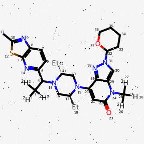 [2H]C([2H])([2H])C(c1ccc2nc(C)sc2n1)N1C[C@H](CC)N(c2cc(=O)n(C([2H])([2H])[2H])c3cn(C4CCCCO4)nc23)C[C@H]1CC